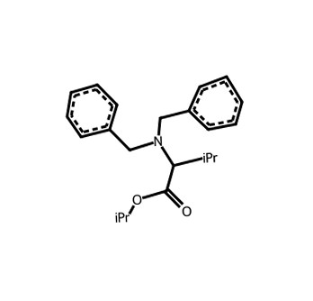 CC(C)OC(=O)C(C(C)C)N(Cc1ccccc1)Cc1ccccc1